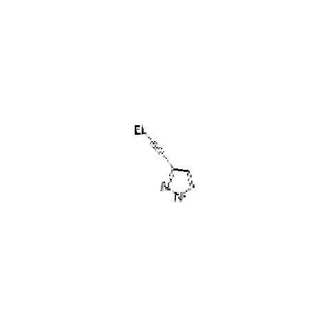 CCC#CC1=N[N]C=C1